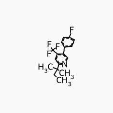 CCC(C)(C)c1cc(C(F)(F)F)c(-c2ccc(F)cc2)cn1